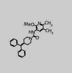 COc1nc(C)c(C)cc1NC(=O)N1CCC(=C(c2ccccc2)c2ccccc2)CC1